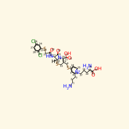 NCCCc1cc(SCC2=C(C(=O)O)N3C(=O)[C@H](NC(=O)CSc4cc(Cl)ccc4Cl)[C@H]3SC2)cc[n+]1CCC[C@H](N)C(=O)O